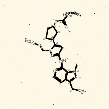 CCOC(=O)OCn1nc(Nc2nccc3c(COC)nn(C)c23)cc1[C@H]1CC[C@@H](OC(=O)NC(C)CC)C1